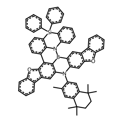 Cc1cc2c(cc1N1c3cc4oc5ccccc5c4cc3B3c4c1cc1c(oc5ccccc51)c4-c1cccc4c1N3c1ccccc1[Si]4(c1ccccc1)c1ccccc1)C(C)(C)CCC2(C)C